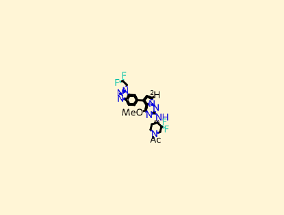 [2H]c1cc(-c2ccc3nnn(CC(F)F)c3c2)c2c(OC)nc(N[C@@H]3CCN(C(C)=O)CC3(F)F)nn12